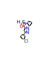 CN(C(=O)c1cc(-c2cccc(Cl)c2)ncn1)c1ccccc1